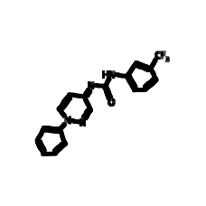 O=C(N=c1ccn(-c2ccccc2)nc1)Nc1cccc(C(F)(F)F)c1